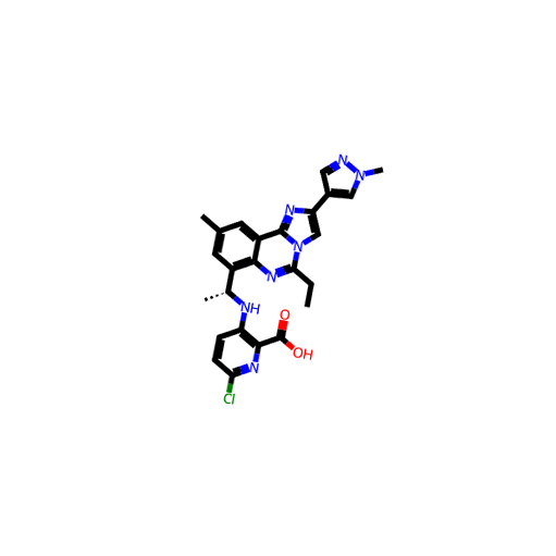 CCc1nc2c([C@@H](C)Nc3ccc(Cl)nc3C(=O)O)cc(C)cc2c2nc(-c3cnn(C)c3)cn12